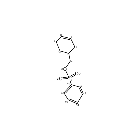 O=S(=O)(OCC1CC=CCC1)c1ccccc1